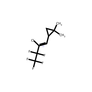 CC1(C)CC1/C=C(\Cl)C(F)(F)C(F)(F)F